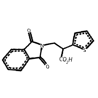 O=C(O)C(CN1C(=O)c2ccccc2C1=O)c1cccs1